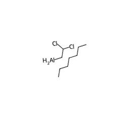 CCCCCCC.[AlH2][CH2]C(Cl)Cl